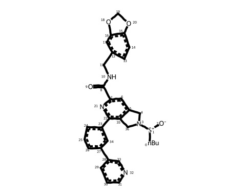 CCCC[S+]([O-])N1Cc2cc(C(=O)NCc3ccc4c(c3)OCO4)nc(-c3cccc(-c4cccnc4)c3)c2C1